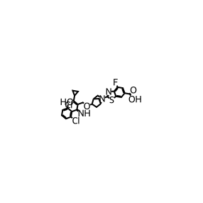 N=C(/C(COC1CC2CC1CN2c1nc2c(F)cc(C(=O)O)cc2s1)=C(\O)C1CC1)c1c(Cl)cccc1Cl